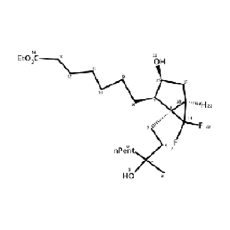 CCCCCC(C)(O)CC[C@]12[C@@H](CCCCCCC(=O)OCC)[C@@H](O)C[C@H]1C2(F)F